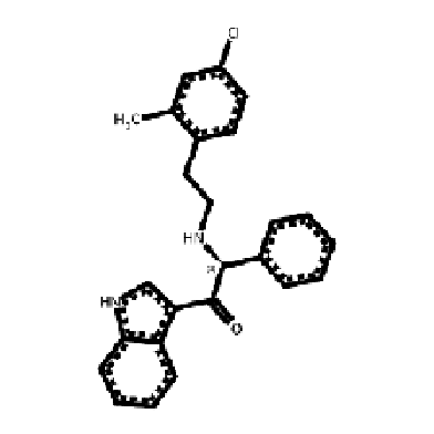 Cc1cc(Cl)ccc1CCN[C@H](C(=O)c1c[nH]c2ccccc12)c1ccccc1